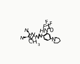 Cn1c(N=Nc2ccc(N3CCCCC3)cc2NC(=O)C(F)(F)F)nc(C#N)c1C#N